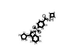 O=C(NC1CCC1)c1ccc(S(=O)(=O)n2cc(C3CCCC3)c3ccccc32)cc1